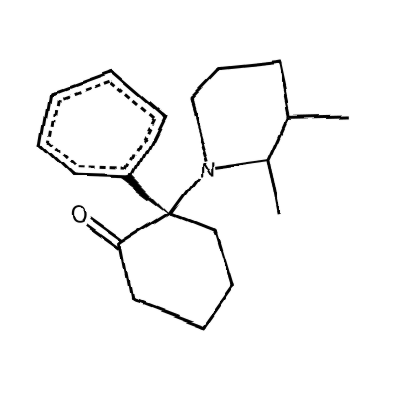 CC1CCCN([C@]2(c3ccccc3)CCCCC2=O)C1C